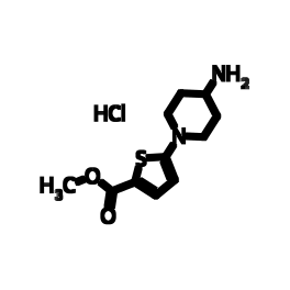 COC(=O)c1ccc(N2CCC(N)CC2)s1.Cl